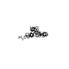 CC(C)Oc1ccc(-n2c(-c3ccncc3Cl)nn(CC(=O)N3CCOCC3)c2=O)cc1